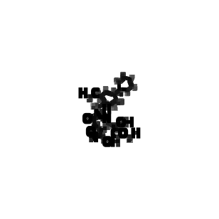 Cc1cc(-c2ccccc2)ccc1CN(NCC(O)C(=O)O)C(=O)c1cc(O)no1